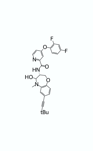 CN1c2cc(C#CC(C)(C)C)ccc2OC[C@@H](NC(=O)c2cc(Oc3ccc(F)cc3F)ccn2)C1O